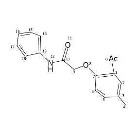 CC(=O)c1cc(C)ccc1OCC(=O)Nc1ccccc1